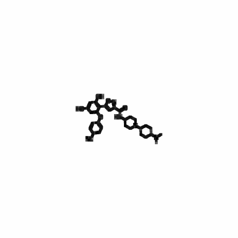 CN(C)C1CCC(N2CCC(NC(=O)c3cc(-c4c(O)cc(O)cc4Oc4ccc(C#N)cc4)on3)CC2)CC1